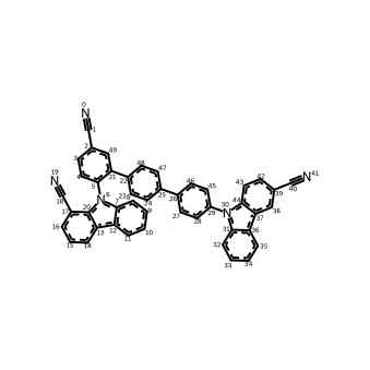 N#Cc1ccc(-n2c3ccccc3c3cccc(C#N)c32)c(-c2ccc(-c3ccc(-n4c5ccccc5c5cc(C#N)ccc54)cc3)cc2)c1